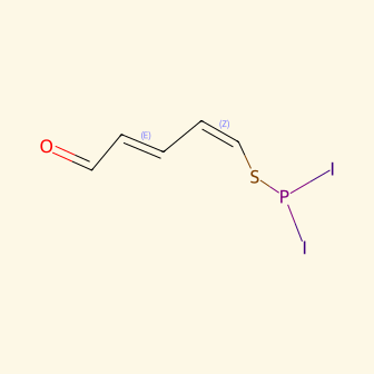 O=C/C=C/C=C\SP(I)I